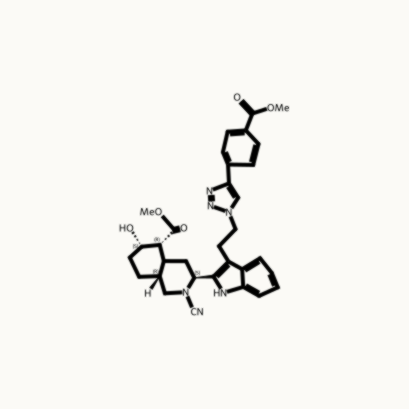 COC(=O)c1ccc(-c2cn(CCc3c([C@@H]4CC5[C@@H](CC[C@H](O)[C@@H]5C(=O)OC)CN4C#N)[nH]c4ccccc34)nn2)cc1